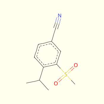 CC(C)c1ccc(C#N)cc1S(C)(=O)=O